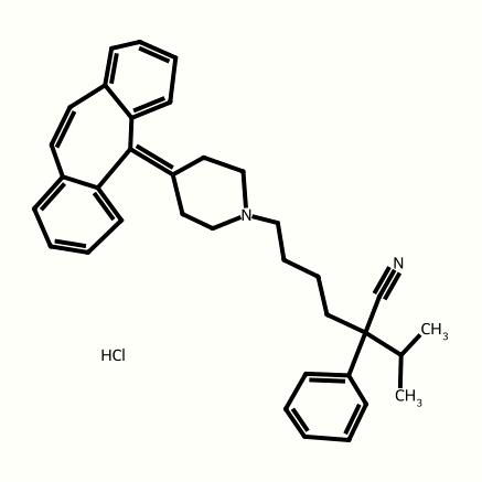 CC(C)C(C#N)(CCCCN1CCC(=C2c3ccccc3C=Cc3ccccc32)CC1)c1ccccc1.Cl